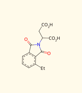 CCc1cccc2c1C(=O)N(C(CC(=O)O)C(=O)O)C2=O